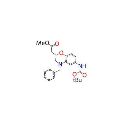 COC(=O)CC1CN(Cc2ccccc2)c2cc(NC(=O)OC(C)(C)C)ccc2O1